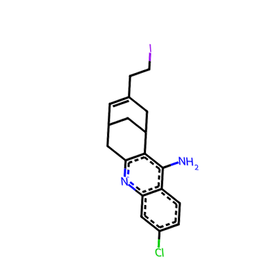 Nc1c2c(nc3cc(Cl)ccc13)CC1C=C(CCI)CC2C1